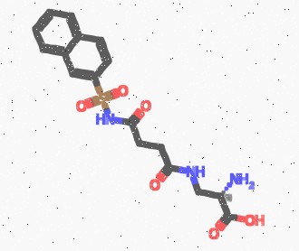 N[C@@H](CNC(=O)CCC(=O)NS(=O)(=O)c1ccc2ccccc2c1)C(=O)O